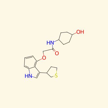 O=C(COc1cccc2[nH]cc(C3CCSC3)c12)NC1CCC(O)CC1